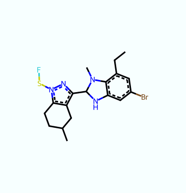 CCc1cc(Br)cc2c1N(C)C(c1nn(SF)c3c1CC(C)CC3)N2